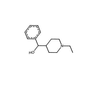 CCN1CCC(C(O)c2ccccc2)CC1